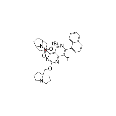 CC(C)(C)OC(=O)N1C2CCC1CN(c1nc(OCC34CCCN3CCC4)nc3c(F)c(-c4cccc5ccccc45)ncc13)C2